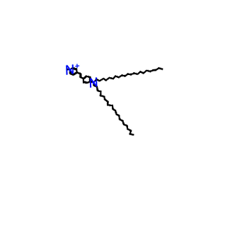 CCCCCCCCCCCCCCCCCCCCCCN(CCCCCCCCCCCCCCCCCCCCCC)c1ccc(/C=C/c2cc[n+](C)cc2)cc1